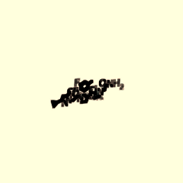 Cc1cc(F)cc([C@@H]2[C@H](OC[C@@H](C)NCC(N)=O)CCN2C(=O)Cn2nc(C3CC3)cc2C(F)(F)F)c1Cl